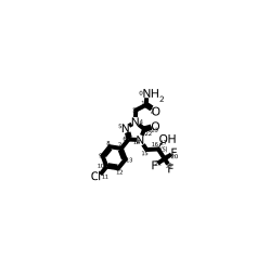 NC(=O)Cn1nc(-c2ccc(Cl)cc2)n(C[C@H](O)C(F)(F)F)c1=O